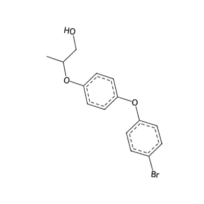 CC(CO)Oc1ccc(Oc2ccc(Br)cc2)cc1